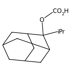 CC(C)C1(OC(=O)O)C2CC3CC(C2)CC1C3